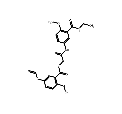 CCNC(=O)c1cc(NC(=O)CNC(=O)c2cc(NC=O)ccc2OC)ccc1OC